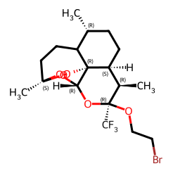 C[C@@H]1CC[C@H]2[C@@H](C)[C@](OCCBr)(C(F)(F)F)O[C@@H]3O[C@]4(C)CCC1[C@]32OO4